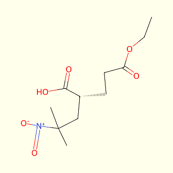 CCOC(=O)CC[C@H](CC(C)(C)[N+](=O)[O-])C(=O)O